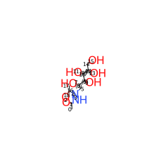 CC(=O)NN(C[C@H](O)[C@H](O)[C@H](O)[C@H](O)CO)C(C)=O